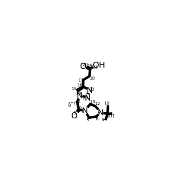 C[C@@H](C(=O)N1CCN(C(C)(C)C)CC1)n1cc(CCC(=O)O)nn1